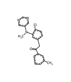 Cc1cccc(C(=O)Cc2ccc(Cl)c(N(C)c3cncnc3)c2)c1